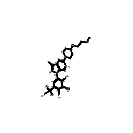 COCCOC1CCN(c2cc3c(C)nn(-c4cc(C(F)(F)F)c(F)c(O)c4F)c3cn2)CC1